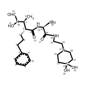 C[C@@H]([C@@H](CCCc1ccccc1)C(=O)N[C@H](C(=O)NCCN1CCS(O)(O)CC1)C(C)(C)C)N(O)C=O